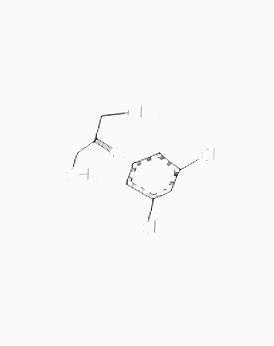 CCC(=O)CC.Clc1cccc(Cl)c1